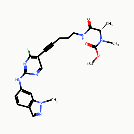 C[C@@H](C(=O)NCCCC#Cc1cnc(Nc2ccc3cnn(C)c3c2)nc1Cl)N(C)C(=O)OC(C)(C)C